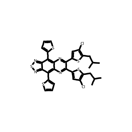 CC(C)Cc1sc(-c2nc3c(-c4cccs4)c4nsnc4c(-c4cccs4)c3nc2-c2cc(Cl)c(CC(C)C)s2)cc1Cl